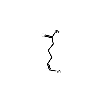 CCC/C=C\CCCC(=O)C(C)C